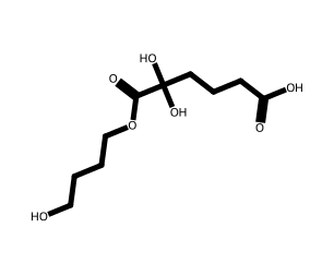 O=C(O)CCCC(O)(O)C(=O)OCCCCO